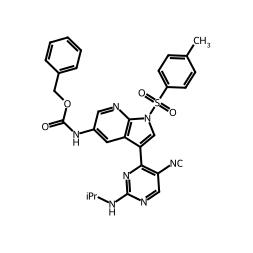 [C-]#[N+]c1cnc(NC(C)C)nc1-c1cn(S(=O)(=O)c2ccc(C)cc2)c2ncc(NC(=O)OCc3ccccc3)cc12